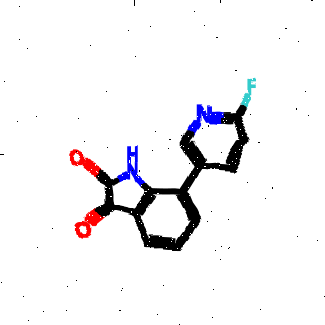 O=C1Nc2c(cccc2-c2ccc(F)nc2)C1=O